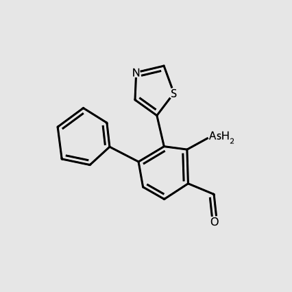 O=Cc1ccc(-c2ccccc2)c(-c2cncs2)c1[AsH2]